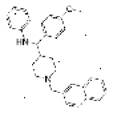 COc1ccc(C(Nc2ccccc2)C2CCN(Cc3ccc4ccccc4c3)CC2)cc1